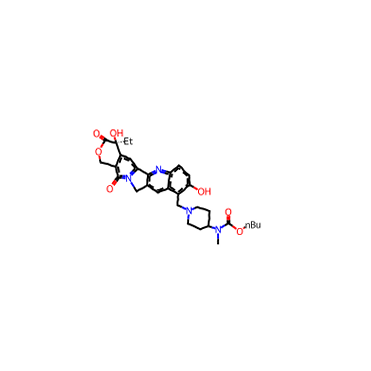 CCCCOC(=O)N(C)C1CCN(Cc2c(O)ccc3nc4c(cc23)Cn2c-4cc3c(c2=O)COC(=O)[C@]3(O)CC)CC1